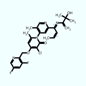 C=C(/N=C(\C=C/C)c1cc(-n2c(C)cc(OCc3ncc(F)cc3F)c(Cl)c2=O)c(C)cn1)C(C)(C)O